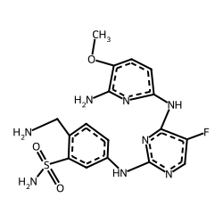 COc1ccc(Nc2nc(Nc3ccc(CN)c(S(N)(=O)=O)c3)ncc2F)nc1N